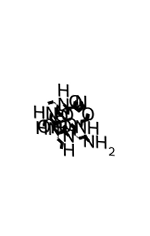 CCC[C@H](NC(=O)[C@@H](CO)NC(=O)[C@H](CC)NC(=O)c1ccno1)C(=O)N[C@@H](CCN)C(=O)NCC=O